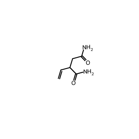 C=CC(CC(N)=O)C(N)=O